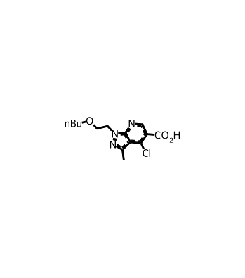 CCCCOCCn1nc(C)c2c(Cl)c(C(=O)O)cnc21